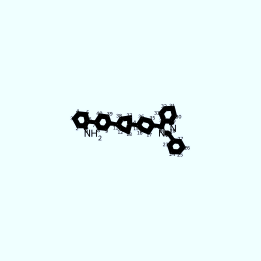 Nc1ccccc1-c1ccc(-c2ccc(-c3ccc(-c4nc(-c5ccccc5)nc5ccccc45)cc3)cc2)cc1